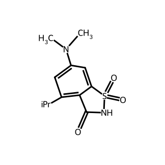 CC(C)c1cc(N(C)C)cc2c1C(=O)NS2(=O)=O